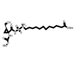 C=C[C@@H]1C[C@]1(NC(=O)OC(C)(C)C)C(=O)NS(=O)(=O)N(C)CCCCCCCCCCCC(=O)OC